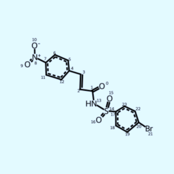 O=C(C=Cc1ccc([N+](=O)[O-])cc1)NS(=O)(=O)c1ccc(Br)cc1